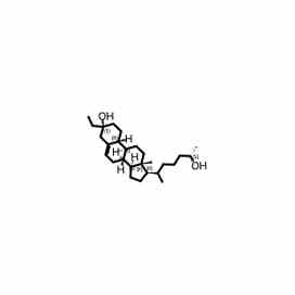 CC[C@]1(O)CC[C@H]2C(=CC[C@@H]3[C@@H]2CC[C@]2(C)[C@@H](C(C)CCC[C@H](C)O)CC[C@@H]32)C1